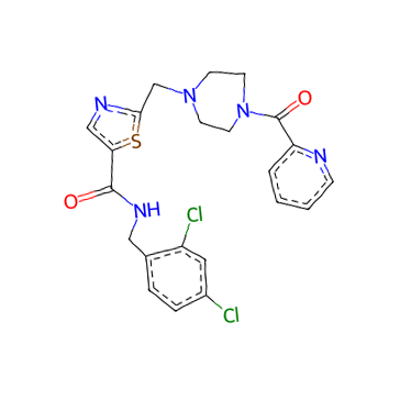 O=C(NCc1ccc(Cl)cc1Cl)c1cnc(CN2CCN(C(=O)c3ccccn3)CC2)s1